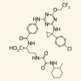 CC1CCCCC1NC(=O)C(=O)NCC[C@H](NC(=O)c1ccc(Nc2nc(NC3(c4ccc(Cl)cc4)CC3)nc(OCC(F)(F)F)n2)cc1)C(=O)O